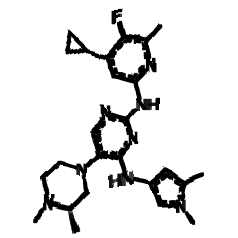 Cc1nc(Nc2ncc(N3CCN(C)[C@H](C)C3)c(Nc3cc(C)n(C)c3)n2)cc(C2CC2)c1F